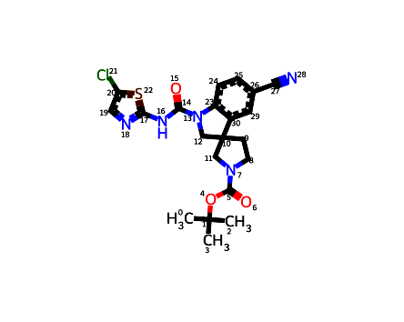 CC(C)(C)OC(=O)N1CCC2(C1)CN(C(=O)Nc1ncc(Cl)s1)c1ccc(C#N)cc12